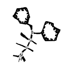 C[SiH](C)[Si](C)(C)[Si](C)(C)P(c1ccccc1)c1ccccc1